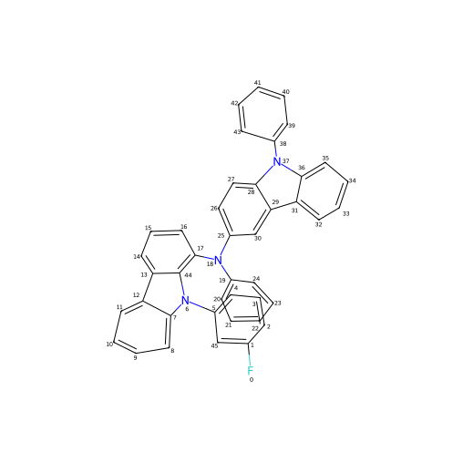 Fc1cccc(-n2c3ccccc3c3cccc(N(c4ccccc4)c4ccc5c(c4)c4ccccc4n5-c4ccccc4)c32)c1